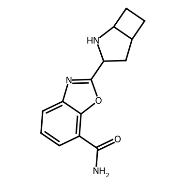 NC(=O)c1cccc2nc(C3CC4CCC4N3)oc12